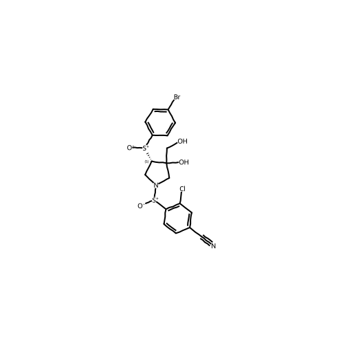 N#Cc1ccc([S+]([O-])N2C[C@H]([S+]([O-])c3ccc(Br)cc3)C(O)(CO)C2)c(Cl)c1